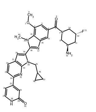 COc1cc(C(=O)N2C[C@H](N)C[C@@H](F)C2)cc2nc(-c3cc4ccc(-c5cc[nH]c(=O)c5)nc4n3CC3CC3)n(C)c12